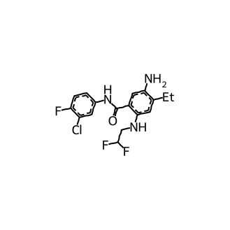 CCc1cc(NCC(F)F)c(C(=O)Nc2ccc(F)c(Cl)c2)cc1N